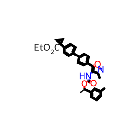 CCOC(=O)C1(c2ccc(-c3ccc(-c4onc(C)c4NC(=O)O[C@H](C)c4cccc(C)c4)cc3)cc2)CC1